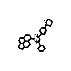 c1ccc(-c2cc(-c3ccc(-c4ccccn4)cc3)nc(-c3ccc4ccc5cccc6ccc3c4c56)n2)cc1